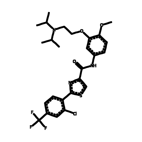 COc1ccc(NC(=O)c2csc(-c3ccc(C(F)(F)F)cc3Cl)n2)cc1OCCN(C(C)C)C(C)C